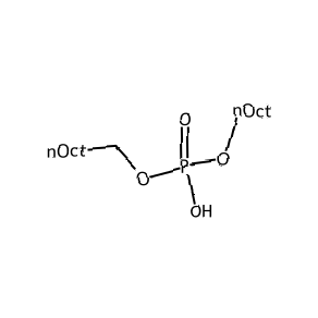 CCCCCCCCCOP(=O)(O)OCCCCCCCC